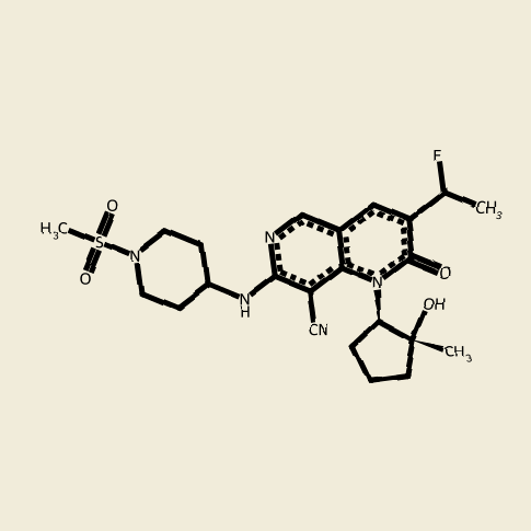 CC(F)c1cc2cnc(NC3CCN(S(C)(=O)=O)CC3)c(C#N)c2n([C@@H]2CCC[C@@]2(C)O)c1=O